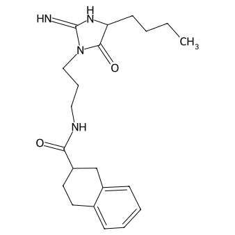 CCCCC1NC(=N)N(CCCNC(=O)C2CCc3ccccc3C2)C1=O